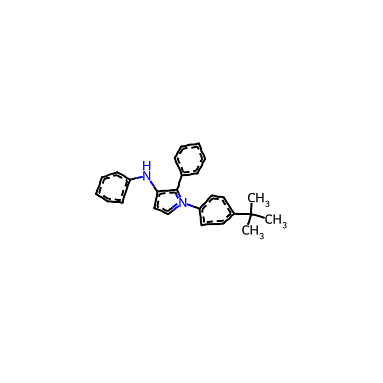 CC(C)(C)c1ccc(-n2ccc(Nc3ccccc3)c2-c2ccccc2)cc1